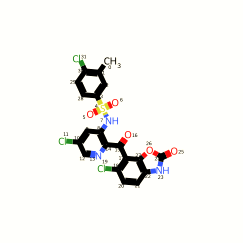 Cc1cc(S(=O)(=O)Nc2cc(Cl)cnc2C(=O)c2c(Cl)ccc3[nH]c(=O)oc23)ccc1Cl